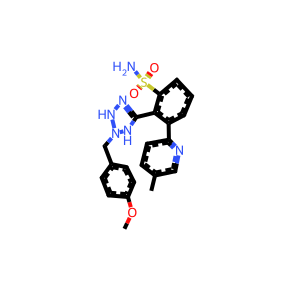 COc1ccc(CN2NN=C(c3c(-c4ccc(C)cn4)cccc3S(N)(=O)=O)N2)cc1